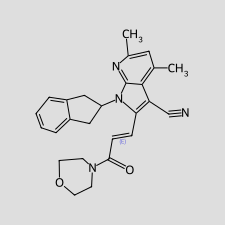 Cc1cc(C)c2c(C#N)c(/C=C/C(=O)N3CCOCC3)n(C3Cc4ccccc4C3)c2n1